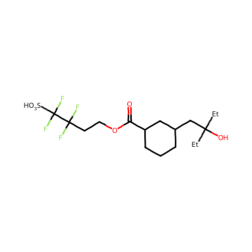 CCC(O)(CC)CC1CCCC(C(=O)OCCC(F)(F)C(F)(F)S(=O)(=O)O)C1